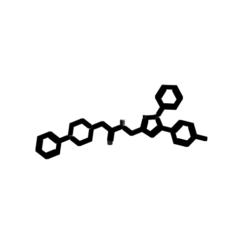 Cc1ccc(-c2cc(CNC(=O)CN3CCN(c4ccccc4)CC3)nn2-c2ccccc2)cc1